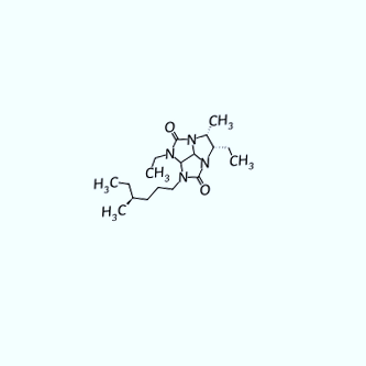 CC[C@H](C)CCCN1C(=O)N2C3C1N(CC)C(=O)N3[C@H](C)[C@@H]2CC